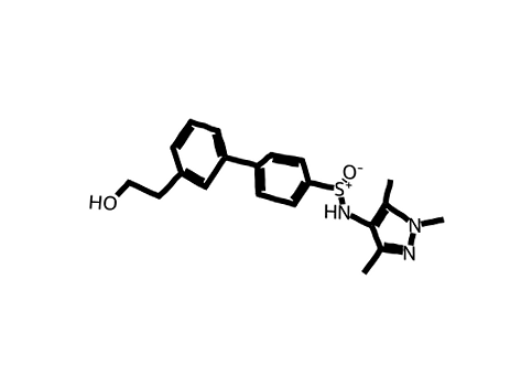 Cc1nn(C)c(C)c1N[S+]([O-])c1ccc(-c2cccc(CCO)c2)cc1